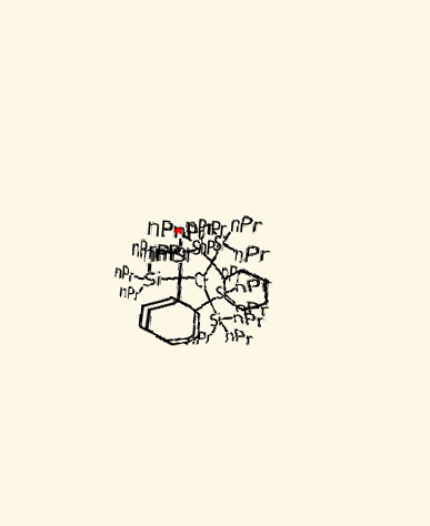 CCC[Si](CCC)(CCC)[C](C1CCCCC1)([Cr]([C](C1CCCCC1)([Si](CCC)(CCC)CCC)[Si](CCC)(CCC)CCC)[C](C1CCCCC1)([Si](CCC)(CCC)CCC)[Si](CCC)(CCC)CCC)[Si](CCC)(CCC)CCC